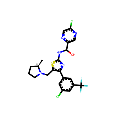 C[C@@H]1CCCN1Cc1sc(NC(O)c2cnc(Cl)cn2)nc1-c1cc(Cl)cc(C(F)(F)F)c1